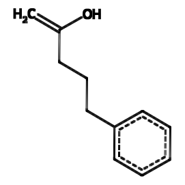 C=C(O)CCCc1ccccc1